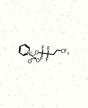 O=S(=O)(OC(F)(F)C(F)(F)CCC(F)(F)F)[n+]1ccccc1